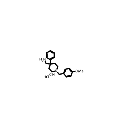 COc1ccc(CN2CCC(CN)(c3ccccc3)CC2)cc1.Cl.Cl